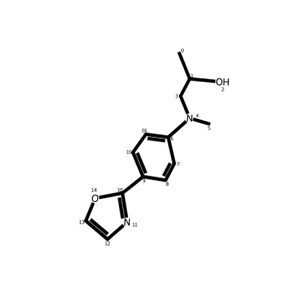 CC(O)CN(C)c1ccc(-c2ncco2)cc1